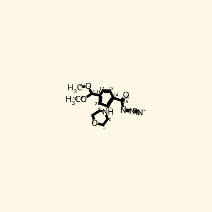 C1COCCN1.COC(OC)c1ccc(C(=O)N=[N+]=[N-])cc1